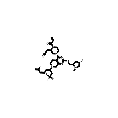 C=CC(=O)N1CCN(c2nc(OC[C@H]3C[C@H](F)CN3C)nc3c2CCN(/C(=C/C=C\C(=C)F)CC(F)(F)F)C3)CC1CC#N